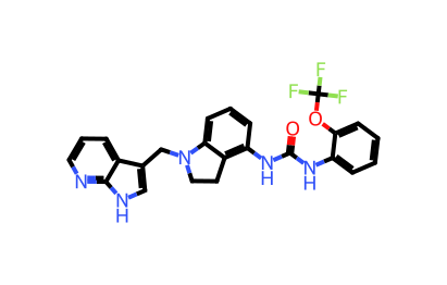 O=C(Nc1ccccc1OC(F)(F)F)Nc1cccc2c1CCN2Cc1c[nH]c2ncccc12